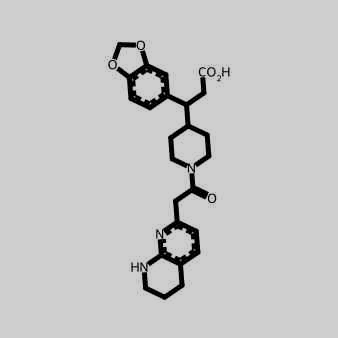 O=C(O)CC(c1ccc2c(c1)OCO2)C1CCN(C(=O)Cc2ccc3c(n2)NCCC3)CC1